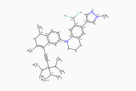 CC1=C(C#C[Si](C(C)C)(C(C)C)C(C)C)c2cc(N3CCCc4cc(-c5cnn(C)c5)c(C(F)F)cc43)ccc2C(C)C1